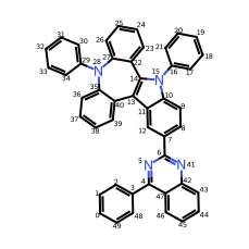 c1ccc(-c2nc(-c3ccc4c(c3)c3c(n4-c4ccccc4)-c4ccccc4N(c4ccccc4)c4ccccc4-3)nc3ccccc23)cc1